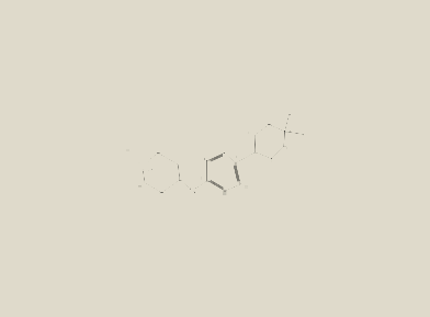 CC1(C)CCC(c2ccc(NC3CC[S+]([O-])CC3)cc2)CC1